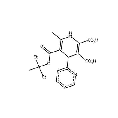 CCC(C)(CC)OC(=O)C1=C(C)NC(C(=O)O)=C(C(=O)O)C1c1ccccn1